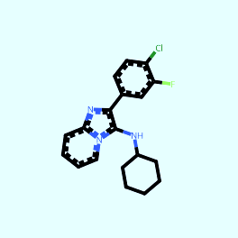 Fc1cc(-c2nc3ccccn3c2NC2CCCCC2)ccc1Cl